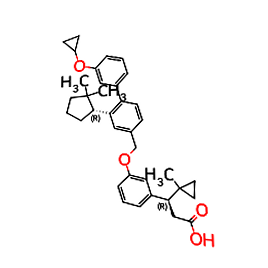 CC1(C)CCC[C@H]1c1cc(COc2cccc([C@H](CC(=O)O)C3(C)CC3)c2)ccc1-c1cccc(OC2CC2)c1